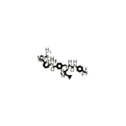 CC(C)n1cnnc1-c1cccc(NC(=O)c2cc3c(cc2F)CN(NC(=O)Nc2ccc(C(F)(F)F)cc2)Cc2c(C4CC4)ncn2-3)n1